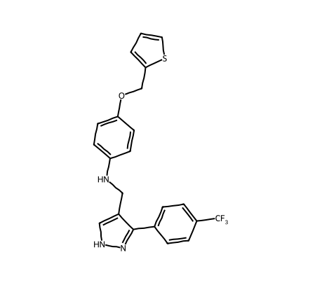 FC(F)(F)c1ccc(-c2n[nH]cc2CNc2ccc(OCc3cccs3)cc2)cc1